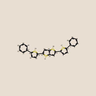 c1ccc(-c2ccc(-c3cc4sc(-c5ccc(-c6ccccc6)s5)cc4s3)s2)cc1